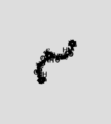 CC(C)(COC(=O)NCc1ccccc1)COC(=O)NCC1(C)CC(NC(=O)OCC(C)(C)COC(=O)NCc2ccccc2)CC(C)(C)C1